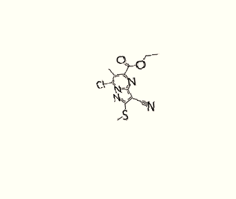 CCOC(=O)c1nc2c(C#N)c(SC)nn2c(Cl)c1C